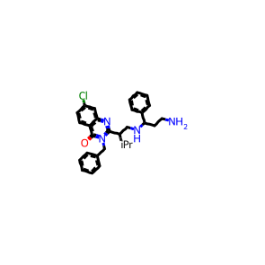 CC(C)C(CNC(CCN)c1ccccc1)c1nc2cc(Cl)ccc2c(=O)n1Cc1ccccc1